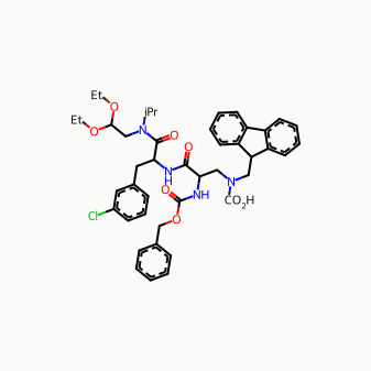 CCOC(CN(C(=O)C(Cc1cccc(Cl)c1)NC(=O)C(CN(CC1c2ccccc2-c2ccccc21)C(=O)O)NC(=O)OCc1ccccc1)C(C)C)OCC